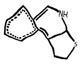 C1=c2ccccc2=C2CCSC2N1